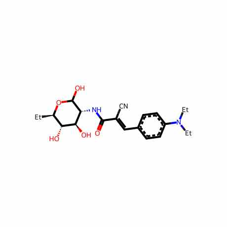 CC[C@H]1OC(O)[C@H](NC(=O)/C(C#N)=C/c2ccc(N(CC)CC)cc2)[C@@H](O)[C@@H]1O